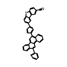 N#Cc1ccc2sc3ccc(-c4ccc(-c5cc6c7ccccc7c(-c7ccccc7)cc6c6ccccc56)cc4)cc3c2c1